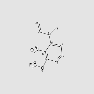 C=C[C](C)c1cccc(OC(F)(F)F)c1[N+](=O)[O-]